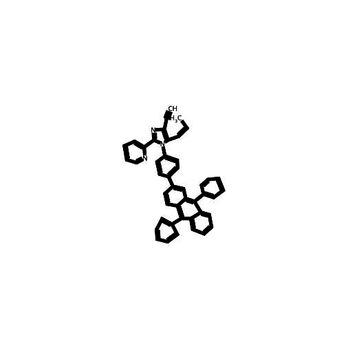 C#Cc1nc(-c2ccccn2)n(-c2ccc(-c3ccc4c(-c5ccccc5)c5ccccc5c(-c5ccccc5)c4c3)cc2)c1/C=C\C